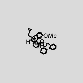 COc1ccc2c3c1O[C@@H]1[C@]34CCN(CC3CC3)[C@H](C2)[C@]42CC[C@@]1(c1ccccc1)C(COCc1ccccc1)C2